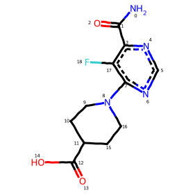 NC(=O)c1ncnc(N2CCC(C(=O)O)CC2)c1F